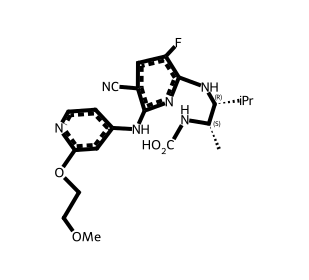 COCCOc1cc(Nc2nc(N[C@H](C(C)C)[C@H](C)NC(=O)O)c(F)cc2C#N)ccn1